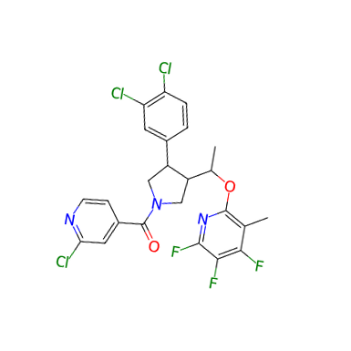 Cc1c(OC(C)C2CN(C(=O)c3ccnc(Cl)c3)CC2c2ccc(Cl)c(Cl)c2)nc(F)c(F)c1F